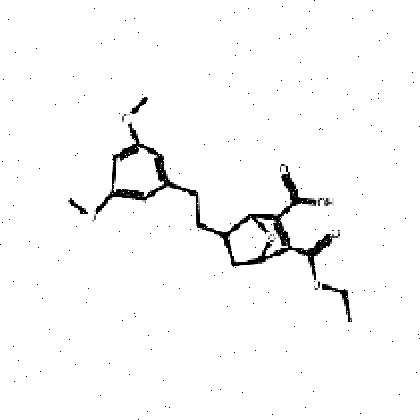 CCOC(=O)C1=C(C(=O)O)C2OC1CC2CCc1cc(OC)cc(OC)c1